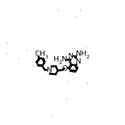 Cc1ccc(CN2CCC(COc3cccc4nc(N)nc(N)c34)CC2)cc1